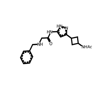 CC(=O)NC1CC(c2cc(NC(=O)CNCc3ccccc3)[nH]n2)C1